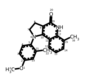 COc1ccc(N2CCc3c2c2cccc(C)c2[nH]c3=O)c(C)c1